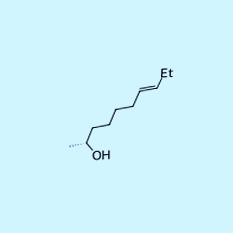 CC/C=C/CCCC[C@@H](C)O